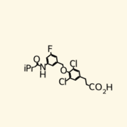 CC(C)C(=O)Nc1cc(F)cc(COc2c(Cl)cc(CCC(=O)O)cc2Cl)c1